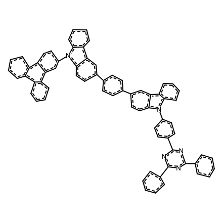 c1ccc(-c2nc(-c3ccccc3)nc(-c3ccc(-n4c5ccccc5c5cc(-c6ccc(-c7ccc8c(c7)c7ccccc7n8-c7ccc8c9ccccc9c9ccccc9c8c7)cc6)ccc54)cc3)n2)cc1